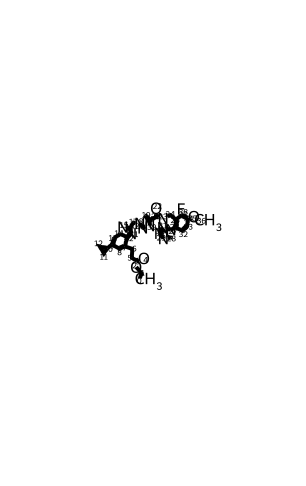 CCOC(=O)CCC1=CC(C2CC2)=CC2N=C(Cn3cc(C(=O)NCc4c(-n5cnnn5)ccc(OC)c4F)nn3)N=C12